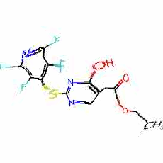 CCOC(=O)c1cnc(Sc2c(F)c(F)nc(F)c2F)nc1O